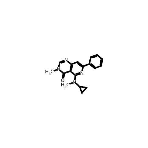 CN(c1nc(-c2ccccc2)cc2ncn(C)c(=O)c12)C1CC1